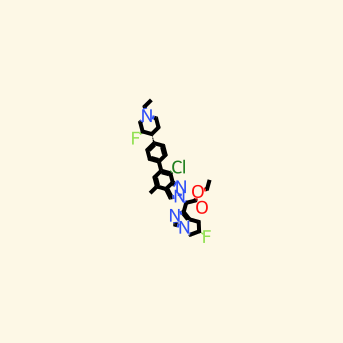 CCOC(=O)C(c1ncn2c1C[C@H](F)C2)n1cc2c(C)cc(-c3ccc([C@H]4CCN(CC)C[C@@H]4F)cc3)c(Cl)c2n1